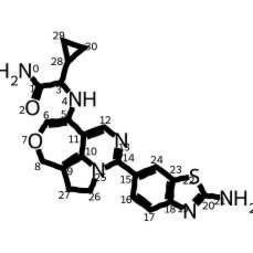 NC(=O)C(NC1=COCC2=C3C1=CN=C(c1ccc4nc(N)sc4c1)N3CC2)C1CC1